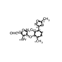 CCCc1c(Oc2c(C)ccc(-c3noc(C)n3)c2C)coc1C=O